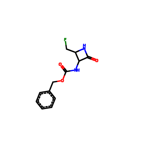 O=C(NC1C(=O)NC1CF)OCc1ccccc1